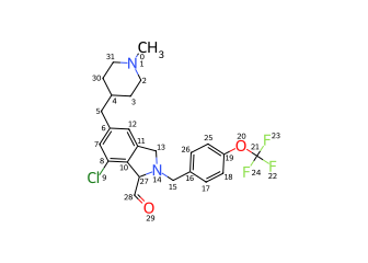 CN1CCC(Cc2cc(Cl)c3c(c2)CN(Cc2ccc(OC(F)(F)F)cc2)C3C=O)CC1